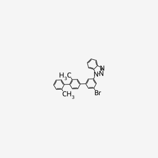 Cc1ccccc1-c1ccc(-c2cc(Br)cc(-n3nnc4ccccc43)c2)cc1C